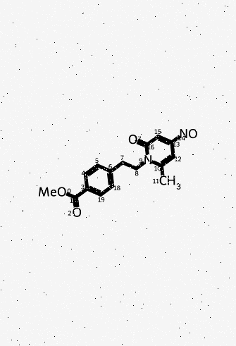 COC(=O)c1ccc(CCn2c(C)cc(N=O)cc2=O)cc1